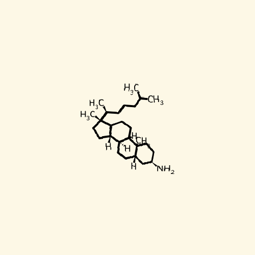 CC(C)CCC[C@H](C)[C@@]1(C)CC[C@@H]2C1CC[C@H]1[C@H]2CC[C@H]2C[C@H](N)CC[C@@]21C